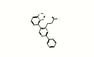 NC(=O)CCc1cc(-c2ccccc2)ccc1-c1cccc2[nH]nnc12